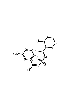 CCC(=CS(=O)(=O)NC(=O)N1CCCCC1CC)c1cccc(OC)c1